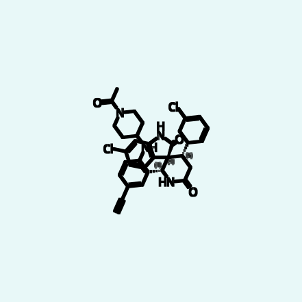 C#Cc1ccc(NC2CCN(C(C)=O)CC2)c([C@H]2NC(=O)C[C@@H](C3C=CC=C(Cl)C3)[C@]23C(=O)Nc2cc(Cl)ccc23)c1